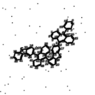 c1ccc(-c2c3ccccc3c(-c3ccc4c(c3)sc3cccc(-c5c6ccccc6c(-c6ccc7sc8ccccc8c7c6)c6ccccc56)c34)c3ccccc23)cc1